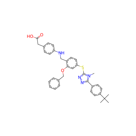 Cn1c(Sc2ccc(CNc3ccc(CC(=O)O)cc3)c(OCc3ccccc3)c2)nnc1-c1ccc(C(C)(C)C)cc1